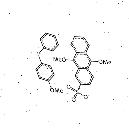 COc1c2ccccc2c(OC)c2cc(S(=O)(=O)[O-])ccc12.COc1ccc([I+]c2ccccc2)cc1